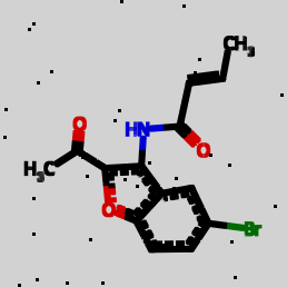 CC=CC(=O)Nc1c(C(C)=O)oc2ccc(Br)cc12